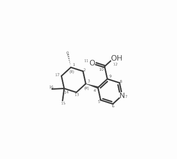 C[C@@H]1C[C@@H](c2ccncc2C(=O)O)CC(C)(C)C1